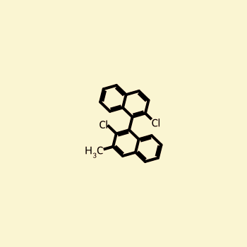 Cc1cc2ccccc2c(-c2c(Cl)ccc3ccccc23)c1Cl